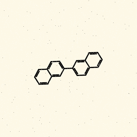 [c]1cccc2ccc(-c3ccc4ccc[c]c4c3)cc12